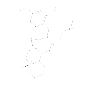 CNCC[C@H](C(=O)N1CCC[C@H]2CCCC[C@@H]21)N(Cc1ccc(OC)cc1OC)C1CC1